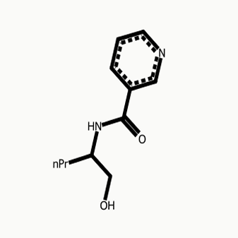 CCCC(CO)NC(=O)c1cccnc1